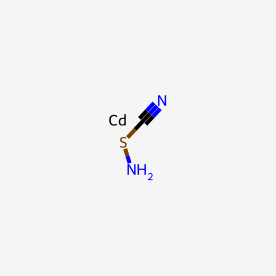 N#CSN.[Cd]